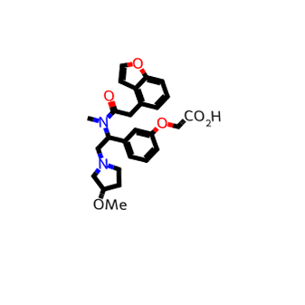 COC1CCN(CC(c2cccc(OCC(=O)O)c2)N(C)C(=O)Cc2cccc3occc23)C1